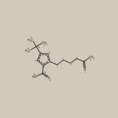 CC(=O)CCCCn1nc(C(C)(C)C)cc1C(=O)O